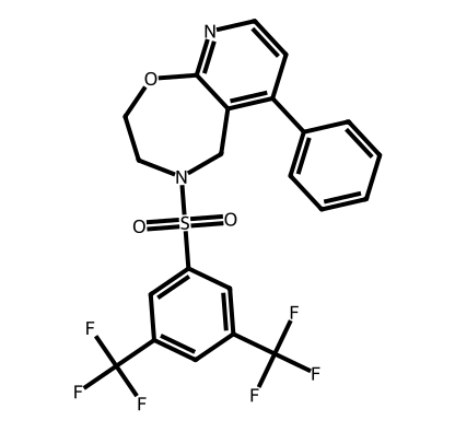 O=S(=O)(c1cc(C(F)(F)F)cc(C(F)(F)F)c1)N1CCOc2nccc(-c3ccccc3)c2C1